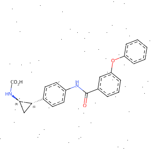 O=C(O)N[C@@H]1C[C@H]1c1ccc(NC(=O)c2cccc(Oc3ccccc3)c2)cc1